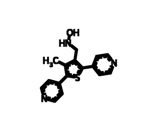 Cc1c(-c2ccncc2)sc(-c2ccncc2)c1CNO